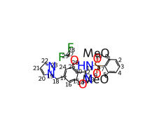 COc1cccc(OC)c1S(=O)(=O)Nc1noc2cc(Cn3cccn3)cc(OC(F)F)c12